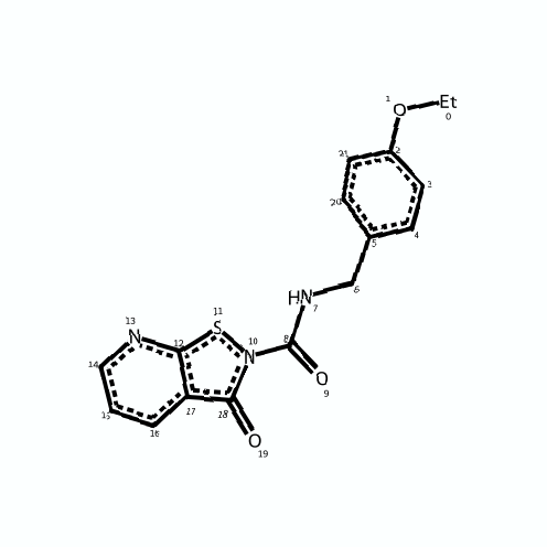 CCOc1ccc(CNC(=O)n2sc3ncccc3c2=O)cc1